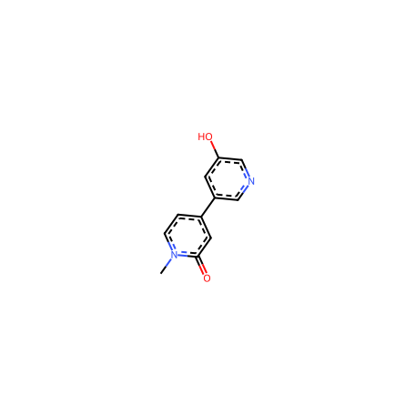 Cn1ccc(-c2cncc(O)c2)cc1=O